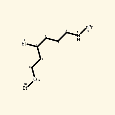 CCCNCCCC(CC)CCOCC